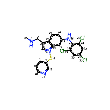 CNCc1cn(Sc2cccnc2)c2cc(Nc3c(Cl)cc(Cl)cc3Cl)ccc12